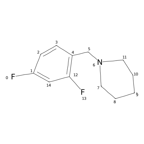 Fc1ccc(CN2CC[CH]CC2)c(F)c1